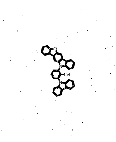 N#Cc1c(-n2c3ccccc3c3ccccc32)cccc1-n1c2ccccc2c2cc3oc4ccccc4c3cc21